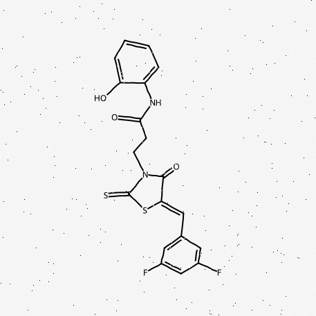 O=C(CCN1C(=O)/C(=C/c2cc(F)cc(F)c2)SC1=S)Nc1ccccc1O